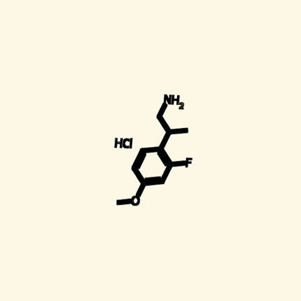 COc1ccc(C(C)CN)c(F)c1.Cl